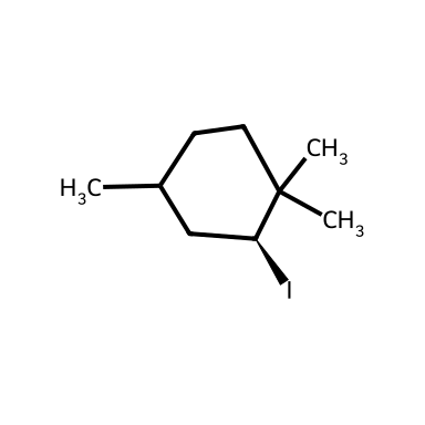 CC1CCC(C)(C)[C@@H](I)C1